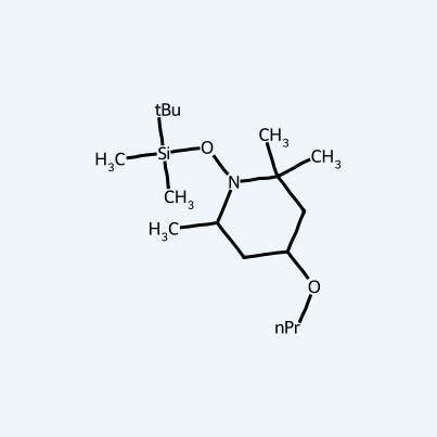 CCCOC1CC(C)N(O[Si](C)(C)C(C)(C)C)C(C)(C)C1